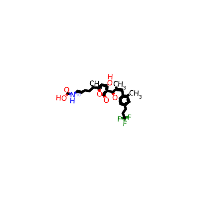 CC(=Cc1ccc(CCC(F)(F)F)cc1C)C(=O)c1c(O)cc(C(C)CC/C=C/NC(=O)O)oc1=O